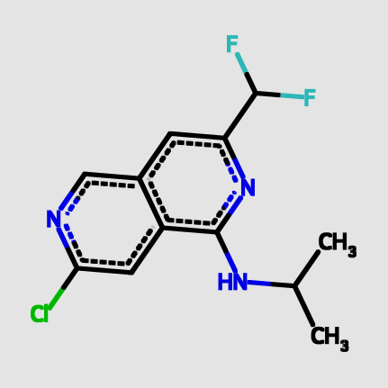 CC(C)Nc1nc(C(F)F)cc2cnc(Cl)cc12